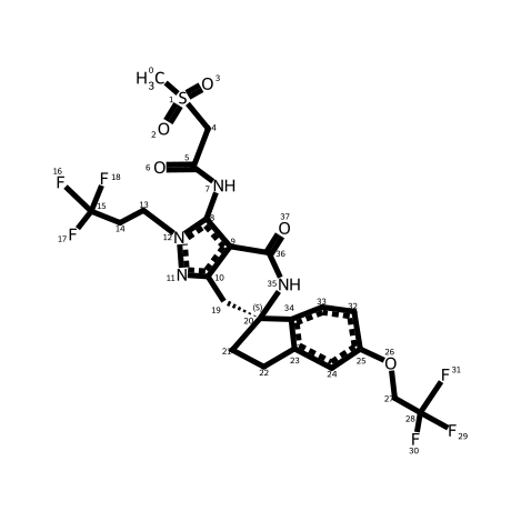 CS(=O)(=O)CC(=O)Nc1c2c(nn1CCC(F)(F)F)C[C@]1(CCc3cc(OCC(F)(F)F)ccc31)NC2=O